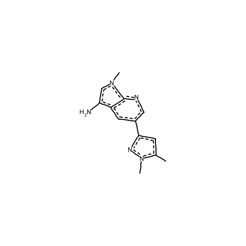 Cc1cc(-c2cnc3c(c2)c(N)cn3C)nn1C